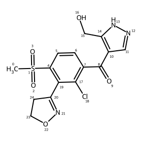 CS(=O)(=O)c1ccc(C(=O)c2cn[nH]c2CO)c(Cl)c1C1=NOCC1